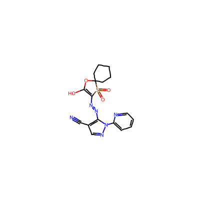 N#Cc1cnn(-c2ccccn2)c1N=NC1=C(O)OC2(CCCCC2)S1(=O)=O